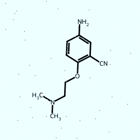 CN(C)CCOc1ccc(N)cc1C#N